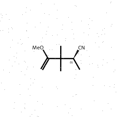 C=C(OC)C(C)(C)[C@H](C)C#N